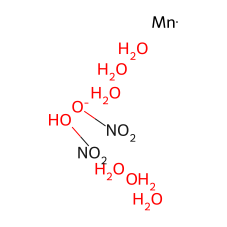 O.O.O.O.O.O.O=[N+]([O-])O.O=[N+]([O-])[O-].[Mn]